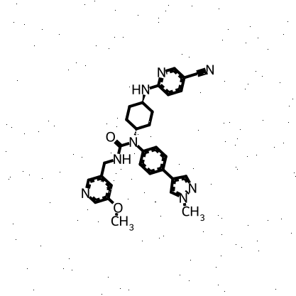 COc1cncc(CNC(=O)N(c2ccc(-c3cnn(C)c3)cc2)[C@H]2CC[C@H](Nc3ccc(C#N)cn3)CC2)c1